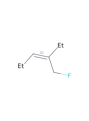 [CH2]C/C=C(/CC)CF